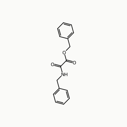 O=C(NCc1ccccc1)C(=O)OCc1ccccc1